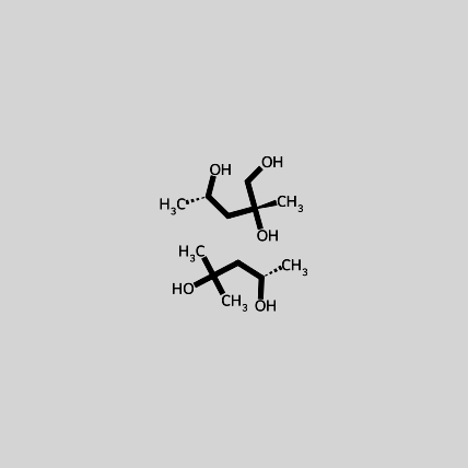 C[C@H](O)CC(C)(C)O.C[C@H](O)C[C@@](C)(O)CO